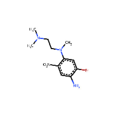 CN(C)CCN(C)c1cc(Br)c(N)cc1[N+](=O)[O-]